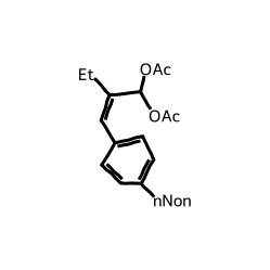 CCCCCCCCCc1ccc(C=C(CC)C(OC(C)=O)OC(C)=O)cc1